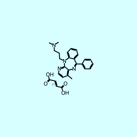 Cc1ccnc2c1N=C(c1ccccc1)c1ccccc1N2CCCN(C)C.O=C(O)/C=C/C(=O)O